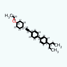 C=CC(CC)c1ccc(-c2ccc(C#C[C@H]3CC[C@H](OCC)CC3)cc2)cc1